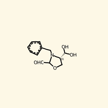 O=CC1OC[C@@H](C(O)O)N1Cc1ccccc1